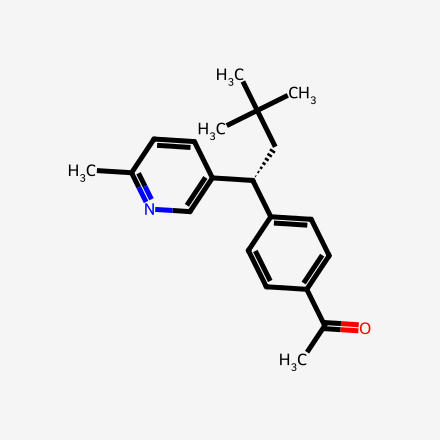 CC(=O)c1ccc([C@@H](CC(C)(C)C)c2ccc(C)nc2)cc1